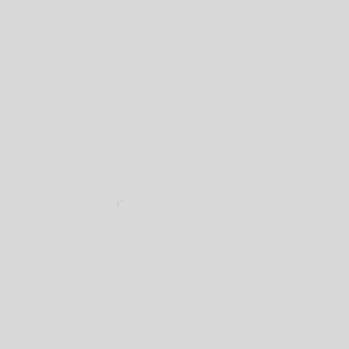 CCc1c[c]c(C(C)C)cc1Cl